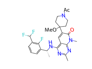 COC1(c2cc3c(N[C@H](C)c4cccc(C(F)F)c4F)nc(C)nc3n(C)c2=O)CCN(C(C)=O)CC1